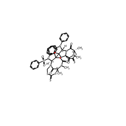 CN1C(=O)CC2(C34CC56SC(=S)S[C@](C)(C(=O)N5[C@H]3N(c3ccccc3)c3ccccc34)N(C)C6=O)c3ccccc3N(S(=O)(=O)c3ccccc3)[C@@H]2N2CSC(=S)S[C@]1(C)C2=O